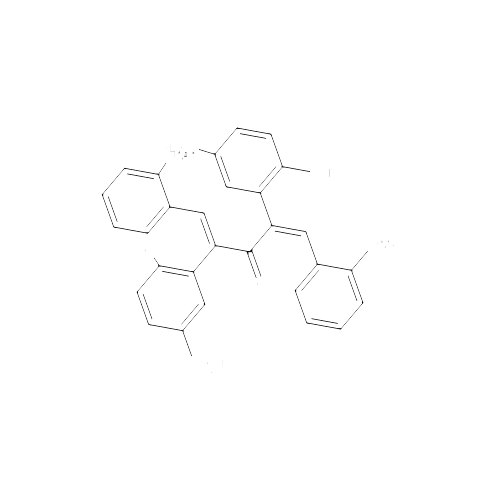 COc1ccccc1C=C(C(=O)C(=Cc1ccccc1OC)c1cc(C(=O)O)ccc1O)c1cc(C(=O)O)ccc1O